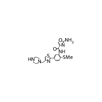 CSc1ccc(-c2nc(CN3CCNCC3)cs2)cc1NC(=O)c1coc(N)n1